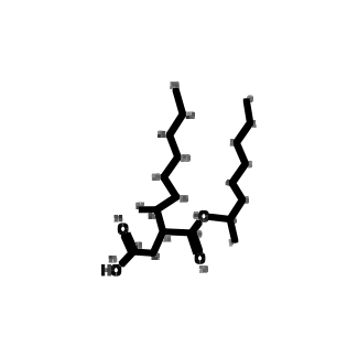 CCCCCCC(C)OC(=O)C(CC(=O)O)C(C)CCCCCC